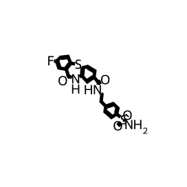 NS(=O)(=O)c1ccc(CCNC(=O)c2ccc3c(c2)NC(=O)c2cc(F)ccc2S3)cc1